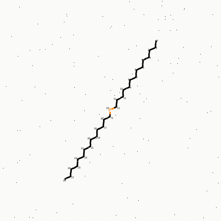 CCCCCCCCCCCCCC[P]CCCCCCCCCCCCCC